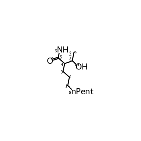 CCCCCCCCC(C(N)=O)C(C)O